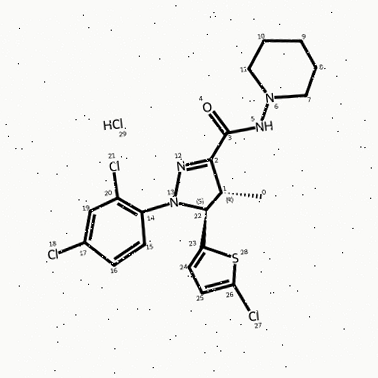 C[C@H]1C(C(=O)NN2CCCCC2)=NN(c2ccc(Cl)cc2Cl)[C@@H]1c1ccc(Cl)s1.Cl